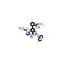 C=CC(=O)N1CC[C@@H](N(CC)c2nc(OC[C@@]34CCCN3C[C@H](F)C4)nc3c(F)c(-c4ccc(F)c5sc(N)c(C#N)c45)ccc23)[C@H]1C